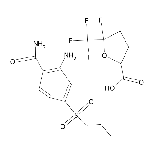 CCCS(=O)(=O)c1ccc(C(N)=O)c(N)c1.O=C(O)C1CCC(F)(C(F)(F)F)O1